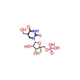 O=c1[nH]c(=S)n([C@@H]2O[C@](F)(COP(=O)(O)O)[C@@H](O)[C@H]2O)cc1CO